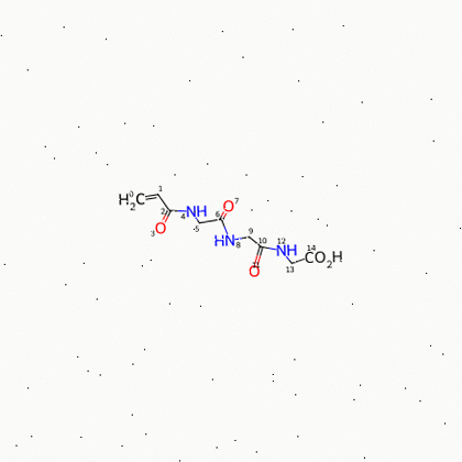 C=CC(=O)NCC(=O)NCC(=O)NCC(=O)O